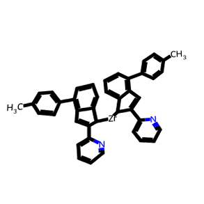 Cc1ccc(-c2cccc3c2C=C(c2ccccn2)[CH]3[Zr][CH]2C(c3ccccn3)=Cc3c(-c4ccc(C)cc4)cccc32)cc1